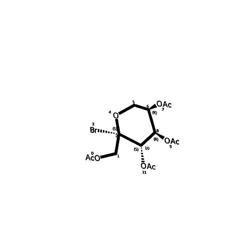 CC(=O)OC[C@@]1(Br)OC[C@@H](OC(C)=O)[C@@H](OC(C)=O)[C@@H]1OC(C)=O